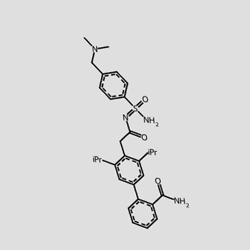 CC(C)c1cc(-c2ccccc2C(N)=O)cc(C(C)C)c1CC(=O)N=S(N)(=O)c1ccc(CN(C)C)cc1